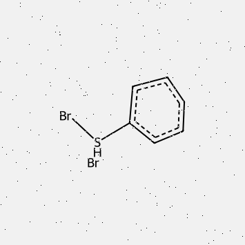 Br[SH](Br)c1ccccc1